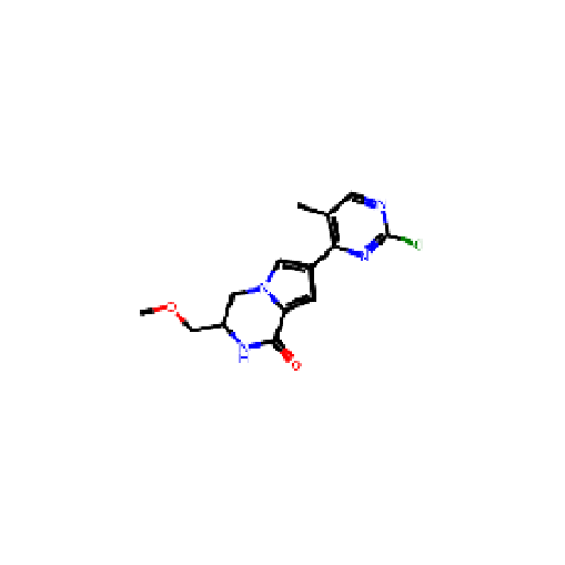 COCC1Cn2cc(-c3nc(Cl)ncc3C)cc2C(=O)N1